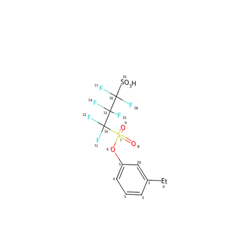 CCc1cccc(OS(=O)(=O)C(F)(F)C(F)(F)C(F)(F)S(=O)(=O)O)c1